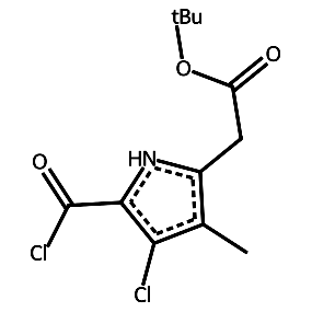 Cc1c(CC(=O)OC(C)(C)C)[nH]c(C(=O)Cl)c1Cl